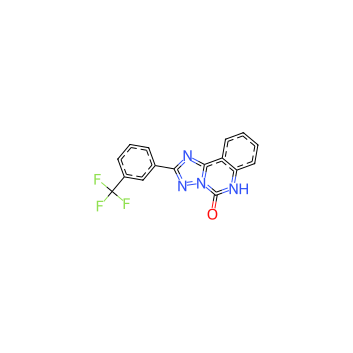 O=c1[nH]c2ccccc2c2nc(-c3cccc(C(F)(F)F)c3)nn12